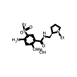 CCN1CCC[C@@H]1CNC(=O)c1cc(S(=O)(=O)CC)c(N)cc1OC.Cl